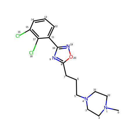 CN1CCN(CCCc2nc(-c3cccc(Cl)c3Cl)no2)CC1